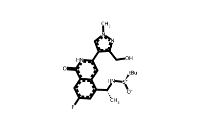 C[C@@H](N[S@+]([O-])C(C)(C)C)c1cc(F)cc2c(=O)[nH]c(-c3cn(C)nc3CO)cc12